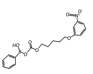 O=C(OCCCCCOc1cccc([N+](=O)[O-])c1)OB(O)c1ccccc1